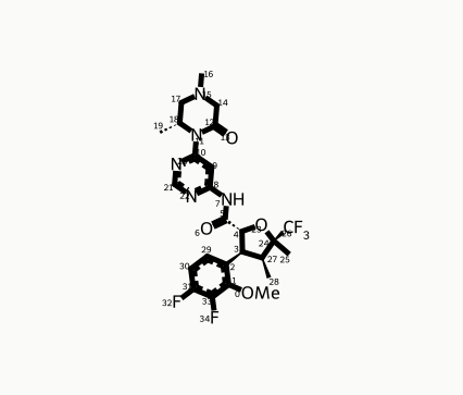 COc1c([C@H]2[C@H](C(=O)Nc3cc(N4C(=O)CN(C)C[C@H]4C)ncn3)O[C@@](C)(C(F)(F)F)[C@H]2C)ccc(F)c1F